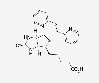 O=C(O)CCCC[C@@H]1SC[C@@H]2NC(=O)N[C@@H]21.c1ccc(SSc2ccccn2)nc1